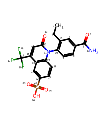 CCc1cc(C(N)=O)ccc1-n1c(=O)cc(C(F)(F)F)c2cc(S(=O)(=O)O)ccc21